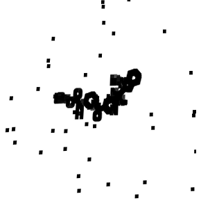 CCn1c(-c2nc3cc(C(=O)N4CCC[C@@H](NC(=O)OC(C)(C)C)C4)cnc3n2C)cc2ccccc21